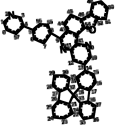 c1cncc(-c2ccc(-c3nc4cc(-c5ccc6c(c5)C5(c7ccccc7-c7ccccc75)c5ccccc5-6)cnc4c4c3ccc3c5ccccc5oc34)cc2)c1